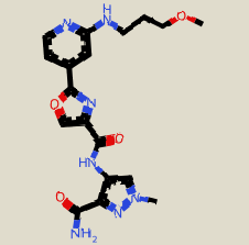 COCCCNc1cc(-c2nc(C(=O)Nc3cn(C)nc3C(N)=O)co2)ccn1